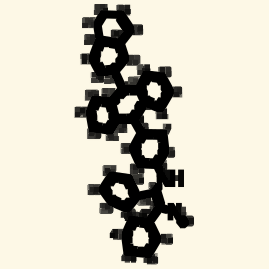 C=N/C(=C(\Nc1ccc(-c2c3ccccc3c(-c3ccc4c(c3)C=CCC4)c3ccccc23)cc1)c1ccccc1)c1ccccc1